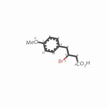 COc1ccc(CC(Br)CC(=O)O)cc1